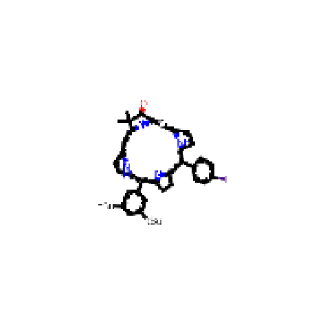 CC(C)(C)c1cc(-c2c3nc(c(-c4ccc(I)cc4)c4ccc(cc5nc(cc6ccc2[nH]6)C(C)(C)C5=O)[nH]4)CC3)cc(C(C)(C)C)c1